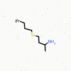 CC(C)CCCSCCC(C)N